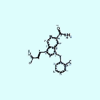 CC(=O)/C=C/c1cn(Cc2ccccc2Cl)c2cc(C(N)=O)ccc12